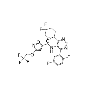 O=C(Nc1c(-c2cc(F)ccc2F)ncnc1C1CCC(F)(F)CO1)c1cc(OCC(F)(F)F)no1